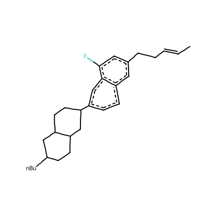 CC=CCCc1cc(F)c2cc(C3CCC4CC(CCCC)CCC4C3)ccc2c1